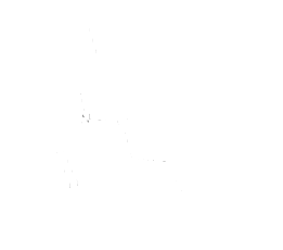 [CH2]CCN(C=O)OCC(C)C